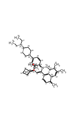 C=C1C=CC(C(=C/C(C)=C2CCC2)/N=C(/C=C\C(=C/C)N2CCC(N(CC)CC)CC2)C(C)CC)=CN1/C=C(/C)C(C)CC